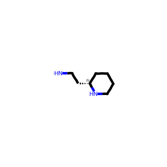 [NH]CC[C@@H]1CCCCN1